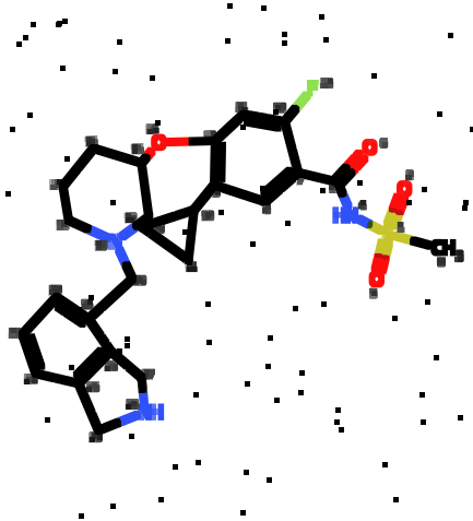 CS(=O)(=O)NC(=O)c1cc(C2CC2)c(OC2CCCN(Cc3cccc4c3CNC4)C2)cc1F